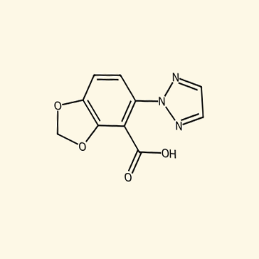 O=C(O)c1c(-n2nccn2)ccc2c1OCO2